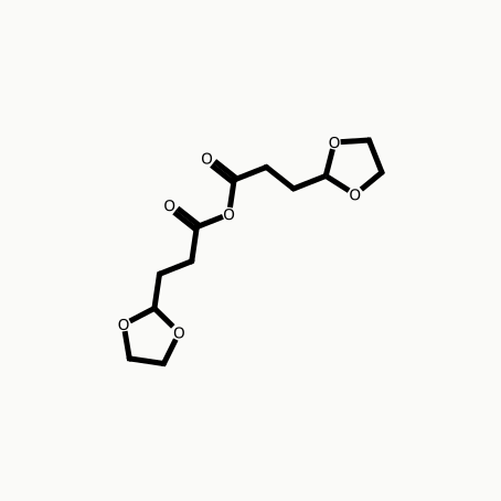 O=C(CCC1OCCO1)OC(=O)CCC1OCCO1